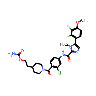 COc1ccc(-c2cnc(C(=O)Nc3ccc(C(=O)N4CCC(CCOC(N)=O)CC4)c(Cl)c3)n2C)c(F)c1F